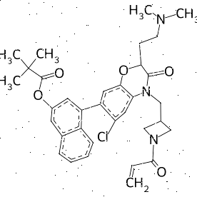 C=CC(=O)N1CC(CN2C(=O)C(CCN(C)C)Oc3cc(-c4cc(OC(=O)C(C)(C)C)cc5ccccc45)c(Cl)cc32)C1